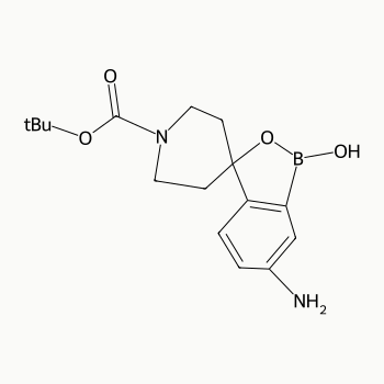 CC(C)(C)OC(=O)N1CCC2(CC1)OB(O)c1cc(N)ccc12